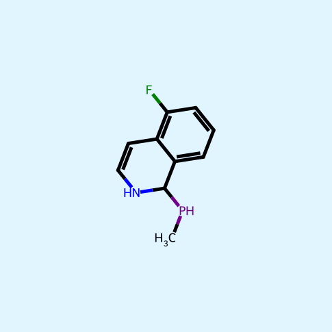 CPC1NC=Cc2c(F)cccc21